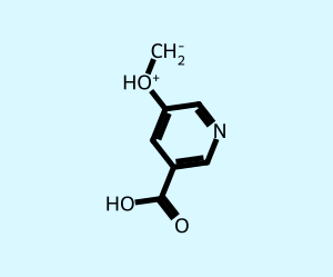 [CH2-][OH+]c1cncc(C(=O)O)c1